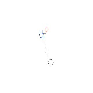 O=Cc1nccn1CCCCCCCCc1ccccc1